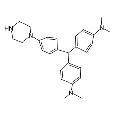 CN(C)c1ccc(C(c2ccc(N(C)C)cc2)c2ccc(N3CCNCC3)cc2)cc1